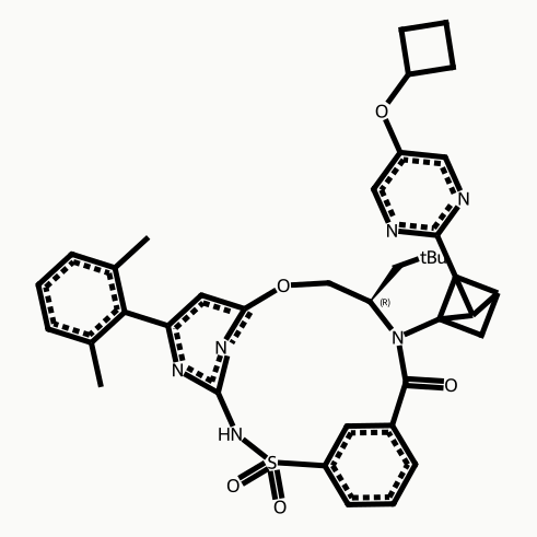 Cc1cccc(C)c1-c1cc2nc(n1)NS(=O)(=O)c1cccc(c1)C(=O)N(C13CC(C1)C3c1ncc(OC3CCC3)cn1)[C@H](CC(C)(C)C)CO2